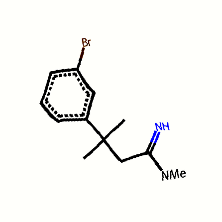 CNC(=N)CC(C)(C)c1cccc(Br)c1